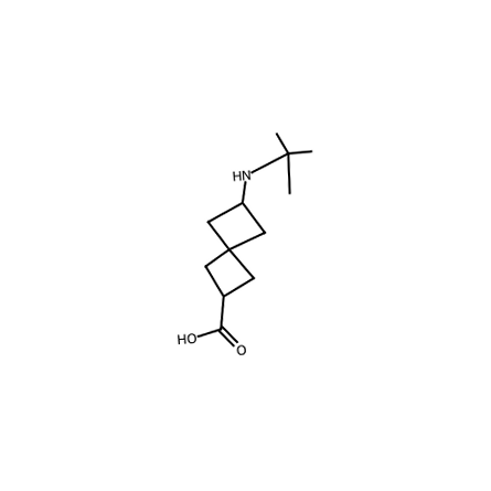 CC(C)(C)NC1CC2(C1)CC(C(=O)O)C2